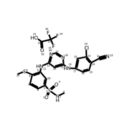 CNS(=O)(=O)c1ccc(SC)c(Nc2cc(Nc3ccc(C#N)c(Cl)c3)ncn2)c1.O=C(O)C(F)(F)F